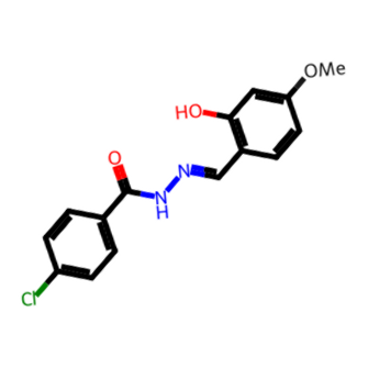 COc1ccc(/C=N/NC(=O)c2ccc(Cl)cc2)c(O)c1